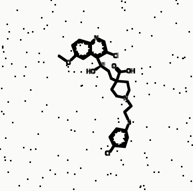 COc1ccc2ncc(Cl)c([C@H](O)CCC3(C(=O)O)CCN(CCSc4ccc(Cl)cc4)CC3)c2c1